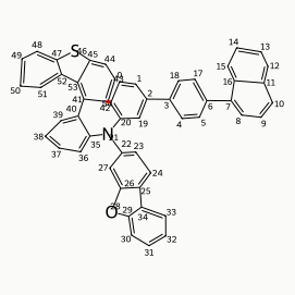 c1cc(-c2ccc(-c3cccc4ccccc34)cc2)cc(N(c2ccc3c(c2)oc2ccccc23)c2ccccc2-c2cccc3sc4ccccc4c23)c1